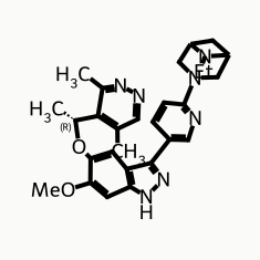 CCN1C2CC1CN(c1ccc(-c3n[nH]c4cc(OC)c(O[C@H](C)c5c(C)cnnc5C)cc34)cn1)C2